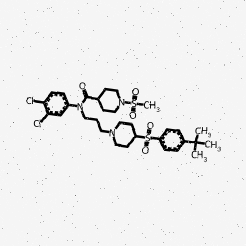 CC(C)(C)c1ccc(S(=O)(=O)C2CCN(CCCN(C(=O)C3CCN(S(C)(=O)=O)CC3)c3ccc(Cl)c(Cl)c3)CC2)cc1